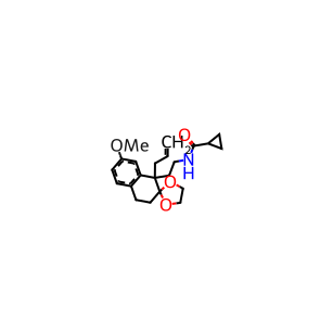 C=CCC1(CCNC(=O)C2CC2)c2cc(OC)ccc2CCC12OCCO2